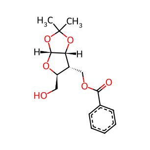 CC1(C)O[C@H]2O[C@H](CO)[C@@H](COC(=O)c3ccccc3)[C@H]2O1